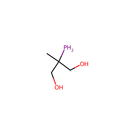 CC(P)(CO)CO